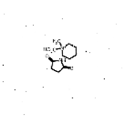 O=C(O)[N+]1(C(F)(F)F)CCCCC1.O=C1CCC(=O)N1